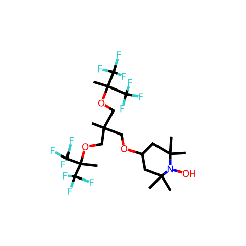 CC(COC1CC(C)(C)N(O)C(C)(C)C1)(COC(C)(C(F)(F)F)C(F)(F)F)COC(C)(C(F)(F)F)C(F)(F)F